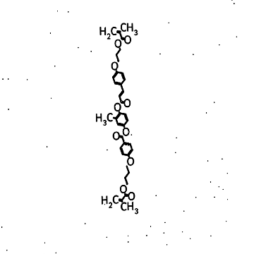 C=C(C)C(=O)OCCCCOc1ccc(C(=O)Oc2ccc(OC(=O)/C=C/c3ccc(OCCCOC(=O)C(=C)C)cc3)c(C)c2)cc1